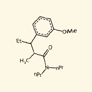 CCCN(CCC)C(=O)C(C)C(CC)c1cccc(OC)c1